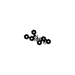 NC1=CCC(C2C=CC=CC2)C=C1C(/N=C/NC1C=CC=CC1c1cccc2c1oc1ccccc12)c1ccccc1